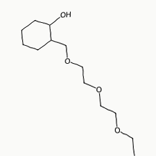 CCOCCOCCOCC1CCCCC1O